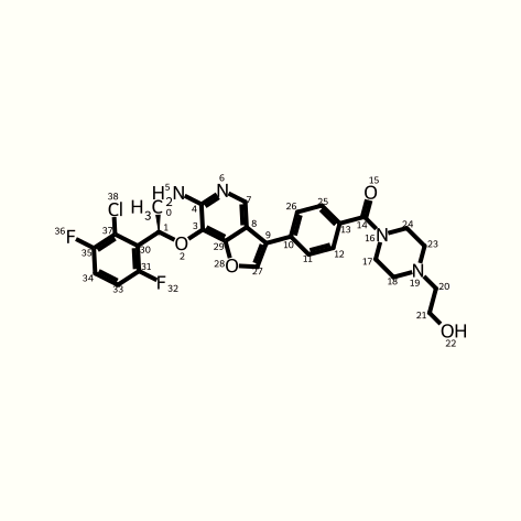 C[C@@H](Oc1c(N)ncc2c(-c3ccc(C(=O)N4CCN(CCO)CC4)cc3)coc12)c1c(F)ccc(F)c1Cl